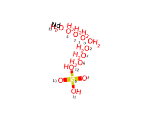 O.O.O.O.O.O.O.O.O=S(=O)(O)O.[Nd]